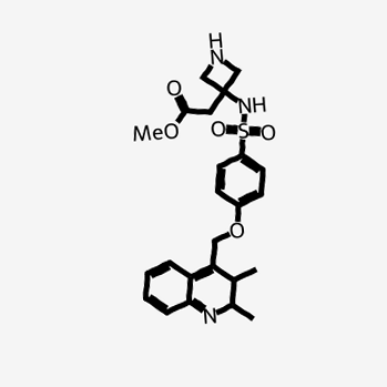 COC(=O)CC1(NS(=O)(=O)c2ccc(OCC3=c4ccccc4=NC(C)C3C)cc2)CNC1